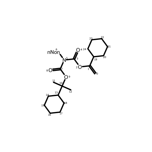 C=C(OC(=O)N(CCCCCCCCC)C(=O)OC(C)(C)C1CCCCC1)C1CCCCC1